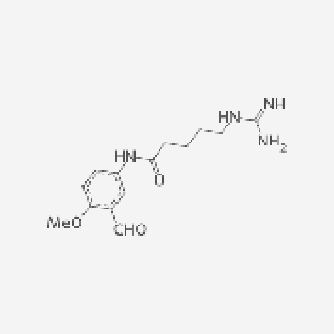 COc1ccc(NC(=O)CCCCNC(=N)N)cc1C=O